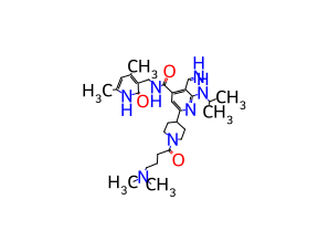 Cc1cc(C)c(CNC(=O)c2cc(C3CCN(C(=O)CCCN(C)C)CC3)nc(NC(C)C)c2C=N)c(=O)[nH]1